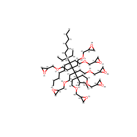 CCCCCCC(CCOCC1CO1)(C(CCOCC1CO1)(CCOCC1CO1)C(CCOCC1CO1)(CCOCC1CO1)C(CCOCC1CO1)(CCOCC1CO1)C(C)CC)[Si](CC)(CC)CCCCCC